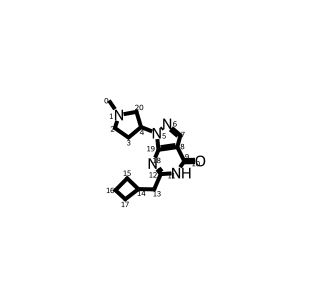 CN1CCC(n2ncc3c(=O)[nH]c(CC4CCC4)nc32)C1